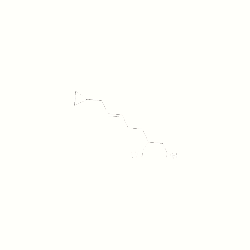 OCC(O)CCC=CCC1CC1